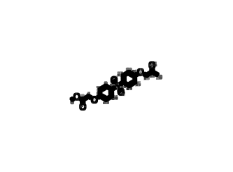 COC(=O)COc1ccc(S(=O)(=O)c2ccc(OCC(C)=O)cc2)cc1